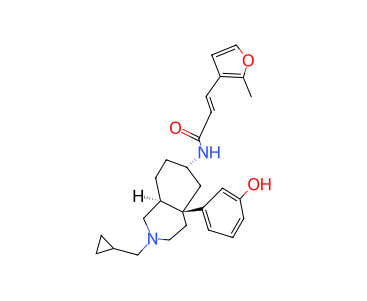 Cc1occc1/C=C/C(=O)N[C@H]1CC[C@@H]2CN(CC3CC3)CC[C@@]2(c2cccc(O)c2)C1